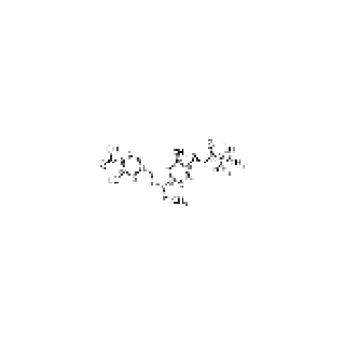 CCC(CCc1ccc(C(=O)O)c(C)c1)c1ccc(OCC(=O)C(C)(C)C)c(C)c1